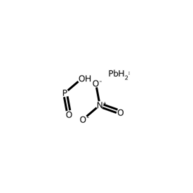 O=PO.O=[N+]([O-])[O-].[PbH2]